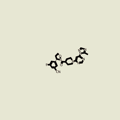 Cc1ncnn1-c1cc(N2CCC(C(=O)N3OCC[C@H]3c3cc(F)cc(C#N)c3)CC2)ncn1